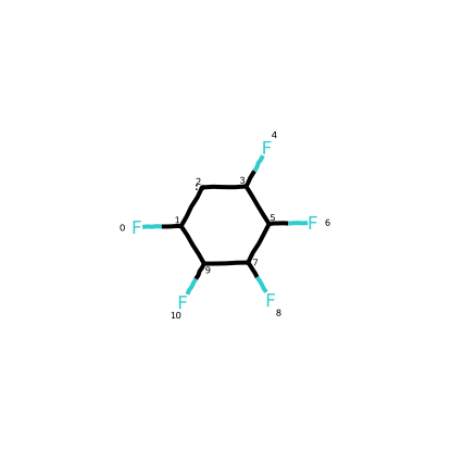 FC1[C]C(F)C(F)C(F)C1F